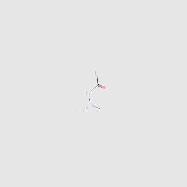 C[CH]C(=O)NN(CC)CC